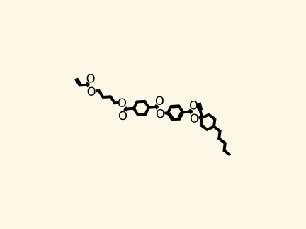 C#CC1(OC(=O)c2ccc(OC(=O)C3CCC(C(=O)OCCCCOC(=O)C=C)CC3)cc2)CCC(CCCCC)CC1